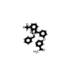 CC(=O)c1cccc(Oc2cccc(-c3c4cccc(C(F)(F)F)c4nn3Cc3ccccc3)c2)c1